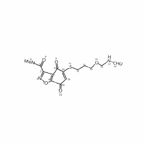 CNC(=O)c1noc2c1C(=O)C(SCCCOCNC=O)=CC2=O